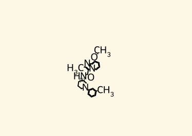 CCOc1cccn2c(C(=O)N[C@H]3CCCN(c4cccc(C)c4)C3)c(C)nc12